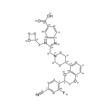 N#Cc1ccc(C2COc3cccc(C4CCN(Cc5nc6ccc(C(=O)O)cc6n5CC5CCO5)CC4)c3O2)c(F)c1